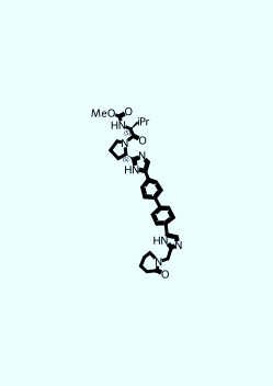 COC(=O)N[C@H](C(=O)N1CCC[C@H]1c1ncc(-c2ccc(-c3ccc(-c4cnc(CN5CCCCC5=O)[nH]4)cc3)cc2)[nH]1)C(C)C